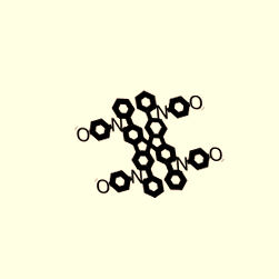 COc1ccc(N2c3ccccc3C3C=C4C(=CC32)c2cc3c(cc2C42c4cc5c6ccccc6n(-c6ccc(OC)cc6)c5cc4-c4cc5c(cc42)c2ccccc2n5-c2ccc(OC)cc2)c2ccccc2n3-c2ccc(OC)cc2)cc1